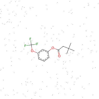 CC(C)(C)CC(=O)Oc1cccc(OC(F)(F)F)c1